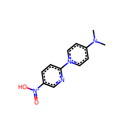 CN(C)c1cc[n+](-c2ccc([N+](=O)O)cn2)cc1